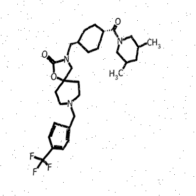 CC1CC(C)CN(C(=O)[C@H]2CC[C@H](CN3CC4(CCN(Cc5ccc(C(F)(F)F)cc5)CC4)OC3=O)CC2)C1